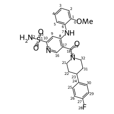 COc1ccccc1Nc1cc(S(N)(=O)=O)ncc1C(=O)N1CCC(c2ccc(F)cc2)CC1